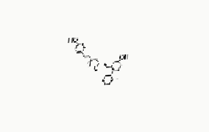 Cc1ccccc1-c1ccc(O)cc1C=CC(=O)CC(=O)C=Cc1ccc(O)cc1